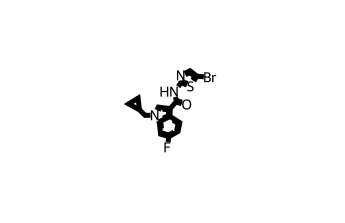 O=C(Nc1ncc(Br)s1)c1cn(CC2CC2)c2cc(F)ccc12